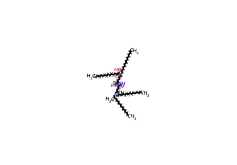 CCCCCCCCCCCCCC(C)CN(CCCCC1NC(=O)C(CCCCN(CC(O)CCCCCCCCCCCCC)CC(O)CCCCCCCCCCCCC)NC1=O)CC(C)CCCCCCCCCCCCC